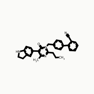 CCCc1nc(C)c(-c2ccc3c(c2)CCN3)c(=O)n1Cc1ccc(-c2ccccc2C#N)cc1